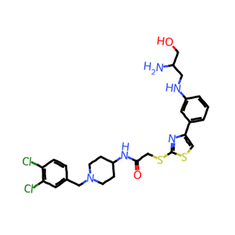 NC(CO)CNc1cccc(-c2csc(SCC(=O)NC3CCN(Cc4ccc(Cl)c(Cl)c4)CC3)n2)c1